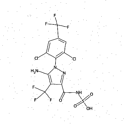 Nc1c(C(F)(F)F)c(C(=O)NS(=O)(=O)O)nn1-c1c(Cl)cc(C(F)(F)F)cc1Cl